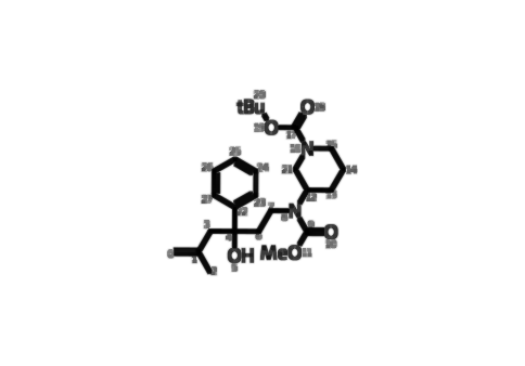 C=C(C)CC(O)(CCN(C(=O)OC)C1CCCN(C(=O)OC(C)(C)C)C1)c1ccccc1